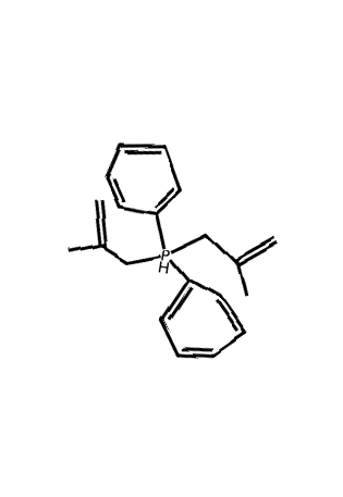 C=C(C)C[PH](CC(=C)C)(c1ccccc1)c1ccccc1